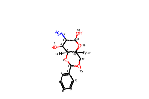 N[C@@H]1[C@@H](O)[C@@H]2OC(c3ccccc3)OC[C@H]2O[C@@H]1O